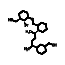 CC(CCC(C)[C@H]1CCCC[C@@H]1COC1CCC[C@@H](CO)[C@H]1C(C)C)[C@@H]1CCCC(CO)C1